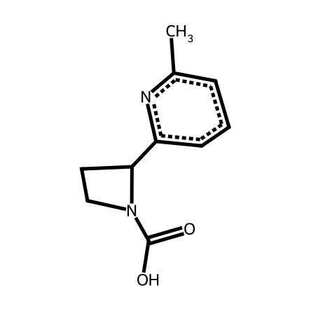 Cc1cccc(C2CCN2C(=O)O)n1